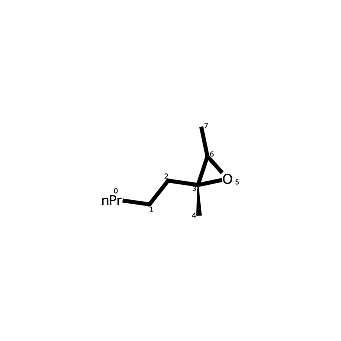 CCCCC[C@@]1(C)OC1C